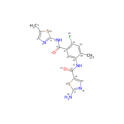 Cc1cnc(NC(=O)c2cc(NC(=O)c3cnc(N)s3)c(C)cc2F)s1